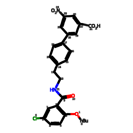 CCCCOc1ccc(Cl)cc1C(=O)NCCc1ccc(-c2cc(C(=O)O)cc([N+](=O)[O-])c2)cc1